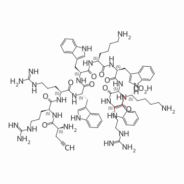 C#CC[C@H](N)C(=O)N[C@@H](CCCNC(=N)N)C(=O)N[C@@H](CCCNC(=N)N)C(=O)N[C@@H](Cc1c[nH]c2ccccc12)C(=O)N[C@@H](Cc1c[nH]c2ccccc12)C(=O)N[C@@H](CCCCN)C(=O)N[C@@H](Cc1c[nH]c2ccccc12)C(=O)N[C@@H](Cc1c[nH]c2ccccc12)C(=O)N[C@@H](CCCNC(=N)N)C(=O)N[C@@H](CCCCN)C(=O)O